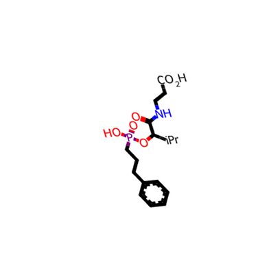 CC(C)C(OP(=O)(O)CCCc1ccccc1)C(=O)NCCC(=O)O